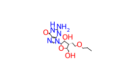 CCCOCC[C@H]1[C@@H](O)[C@H](n2cnc3c(=O)[nH]c(N)nc32)O[C@@H]1CO